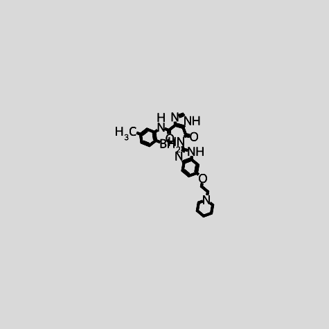 Bc1ccc(C)cc1NC(=O)c1nc[nH]c1C(=O)Nc1nc2ccc(OCCN3CCCCC3)cc2[nH]1